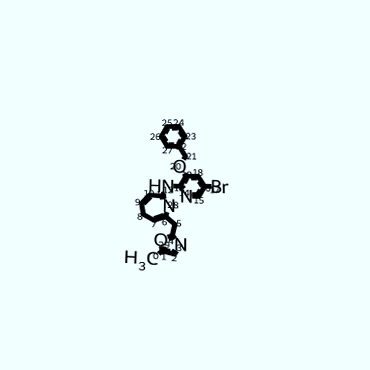 Cc1cnc(CC2=CCC=CC(Nc3ncc(Br)cc3OCc3ccccc3)=N2)o1